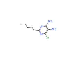 CCCCCc1nc(N)c(N)c(Cl)n1